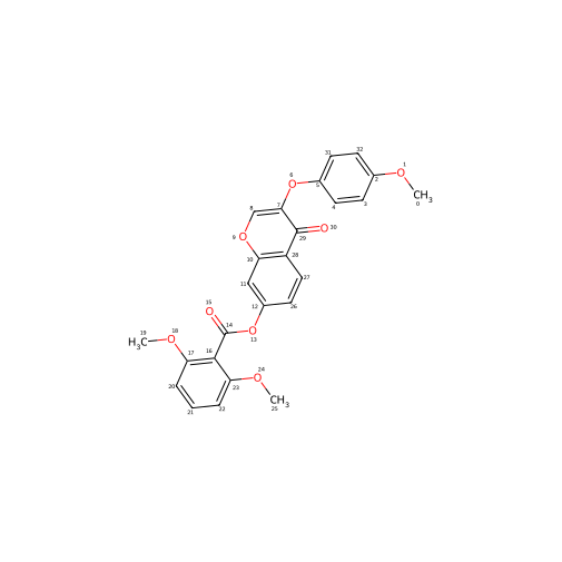 COc1ccc(Oc2coc3cc(OC(=O)c4c(OC)cccc4OC)ccc3c2=O)cc1